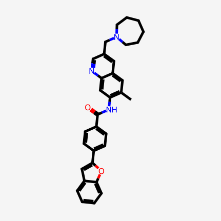 Cc1cc2cc(CN3CCCCCC3)cnc2cc1NC(=O)c1ccc(-c2cc3ccccc3o2)cc1